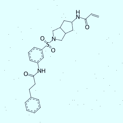 C=CC(=O)NC1CC2CN(S(=O)(=O)c3cccc(NC(=O)CCc4ccccc4)c3)CC2C1